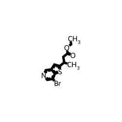 CCOC(=O)CC(C)c1cc2cncc(Br)c2s1